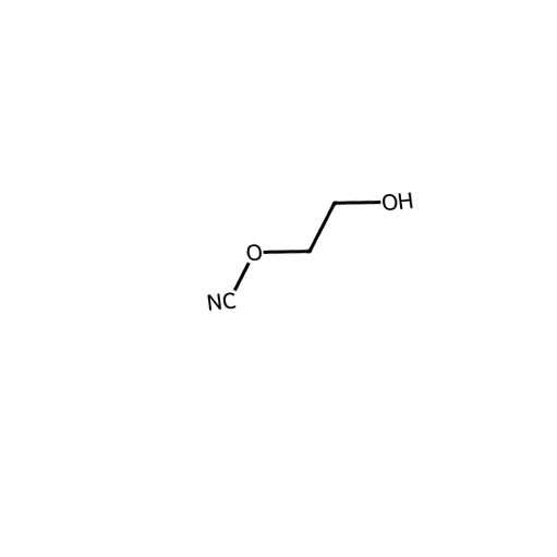 N#COCCO